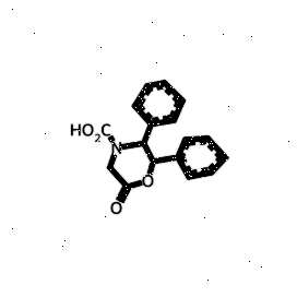 O=C1CN(C(=O)O)C(c2ccccc2)C(c2ccccc2)O1